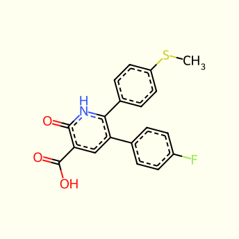 CSc1ccc(-c2[nH]c(=O)c(C(=O)O)cc2-c2ccc(F)cc2)cc1